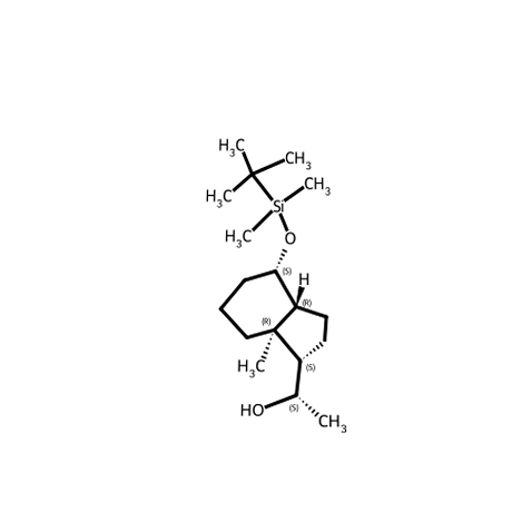 C[C@H](O)[C@H]1CC[C@H]2[C@@H](O[Si](C)(C)C(C)(C)C)CCC[C@]12C